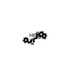 O=C(O)C(CCn1cnc(Cc2ccccc2)c1)Oc1cccc2c1CCC=C2